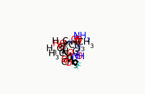 COC1=C2C[C@@H](C)C[C@H](OC)[C@H](O)[C@@H](C)/C=C(\C)[C@H](OC(N)=O)[C@H](OC)/C=C\C=C(/C)C(=O)NC(=C(c3ccc(F)cc3)C1=O)C2=O